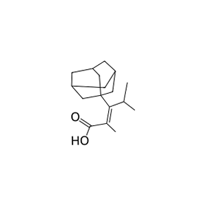 C/C(C(=O)O)=C(\C(C)C)C12CC3CC(CC(C3)C1)C2